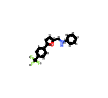 FC(F)(F)c1ccc(-c2ccc(CNc3ccccc3)o2)cc1